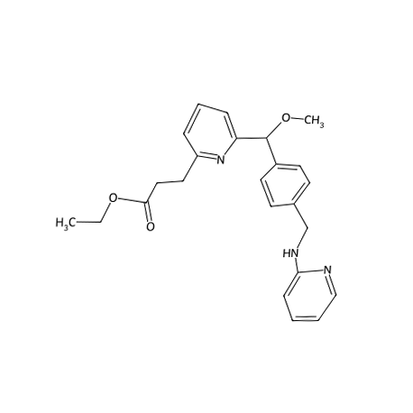 CCOC(=O)CCc1cccc(C(OC)c2ccc(CNc3ccccn3)cc2)n1